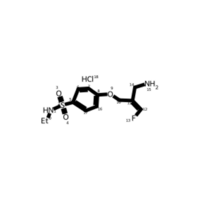 CCNS(=O)(=O)c1ccc(OC/C(=C\F)CN)cc1.Cl